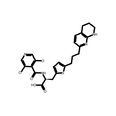 O=C(N[C@@H](Cc1ccc(CCCc2ccc3c(n2)NCCC3)s1)C(=O)O)c1c(Cl)cncc1Cl